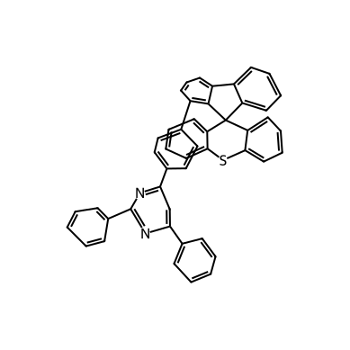 c1ccc(-c2cc(-c3ccc(-c4cccc5c4C4(c6ccccc6Sc6ccccc64)c4ccccc4-5)cc3)nc(-c3ccccc3)n2)cc1